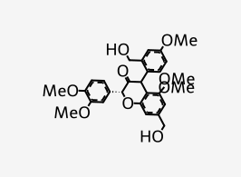 COc1cc(CO)c(C2C(=O)[C@@H](c3ccc(OC)c(OC)c3)Oc3cc(CO)cc(OC)c32)c(OC)c1